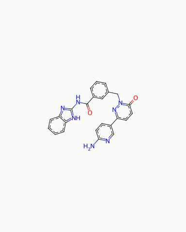 Nc1ccc(-c2ccc(=O)n(Cc3cccc(C(=O)Nc4nc5ccccc5[nH]4)c3)n2)cn1